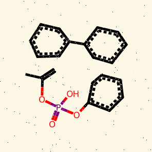 C=C(C)OP(=O)(O)Oc1ccccc1.c1ccc(-c2ccccc2)cc1